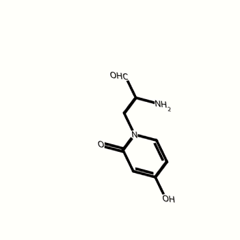 NC(C=O)Cn1ccc(O)cc1=O